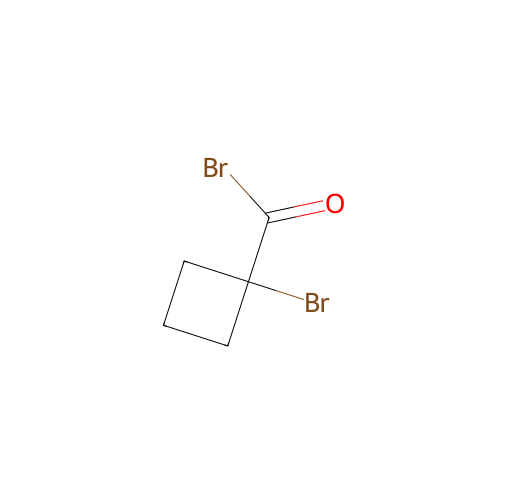 O=C(Br)C1(Br)CCC1